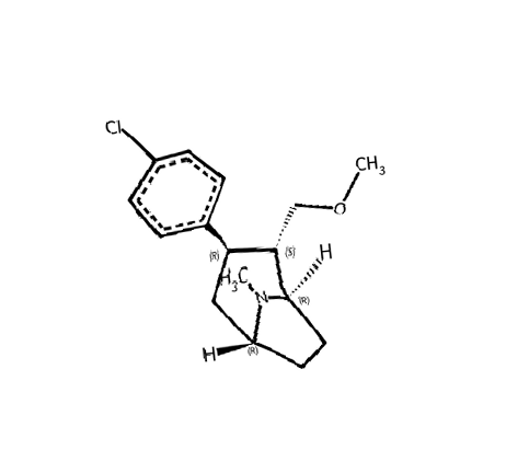 COC[C@@H]1[C@H]2CC[C@H](C[C@H]1c1ccc(Cl)cc1)N2C